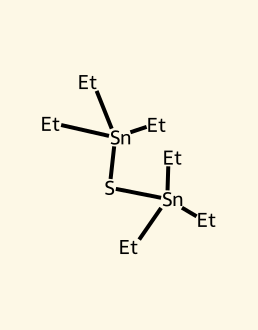 C[CH2][Sn]([CH2]C)([CH2]C)[S][Sn]([CH2]C)([CH2]C)[CH2]C